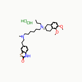 CCCN(CCCCCCN(C)CCc1ccc2[nH]c(=O)sc2c1)[C@H]1CCc2c(ccc(OC)c2OC)C1.Cl.Cl